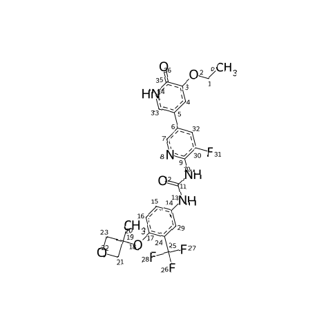 CCOc1cc(-c2cnc(NC(=O)Nc3ccc(OC4(C)COC4)c(C(F)(F)F)c3)c(F)c2)c[nH]c1=O